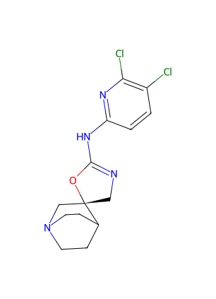 Clc1ccc(NC2=NC[C@@]3(CN4CCC3CC4)O2)nc1Cl